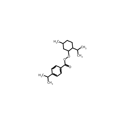 CC1CCC(C(C)C)[C](OOC(=O)c2ccc(C(C)C)cc2)C1